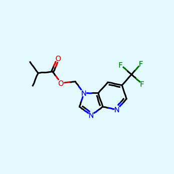 CC(C)C(=O)OCn1cnc2ncc(C(F)(F)F)cc21